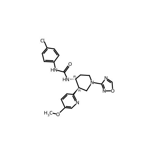 COc1ccc([C@@H]2CN(c3ncon3)CC[C@H]2NC(=O)Nc2ccc(Cl)cc2)nc1